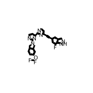 Fc1cc(C#Cc2ccnc(-c3ccnc(N4Cc5ccc(OC(F)F)cc5C4)n3)n2)cc2cn[nH]c12